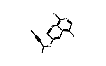 CC#CC(C)Oc1cnc2c(Cl)ncc(F)c2c1